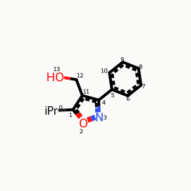 CC(C)c1onc(-c2ccccc2)c1CO